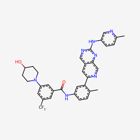 Cc1ccc(Nc2ncc3cc(-c4cc(NC(=O)c5cc(N6CCC(O)CC6)cc(C(F)(F)F)c5)ccc4C)ncc3n2)cn1